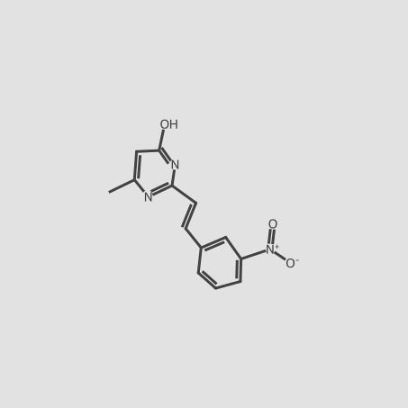 Cc1cc(O)nc(C=Cc2cccc([N+](=O)[O-])c2)n1